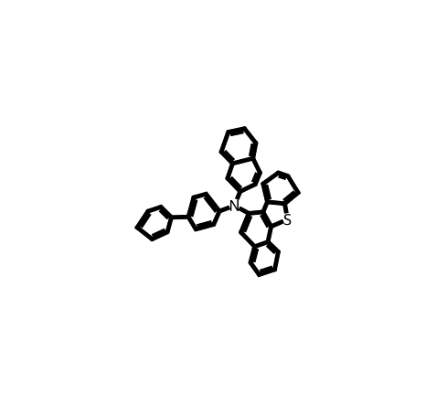 c1ccc(-c2ccc(N(c3ccc4ccccc4c3)c3cc4ccccc4c4sc5ccccc5c34)cc2)cc1